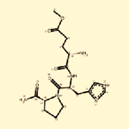 COC(=O)CC[C@H](N)C(=O)N[C@@H](Cc1c[nH]cn1)C(=O)N1CCC[C@H]1C(N)=O